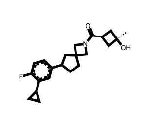 C[C@]1(O)C[C@@H](C(=O)N2CC3(CCC(c4ccc(F)c(C5CC5)c4)C3)C2)C1